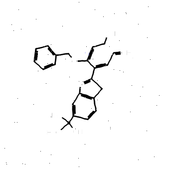 C=C/C=C(C1=Nc2cc(C(C)(C)C)ccc2C1)\C(=C/CC)OCc1ccccc1